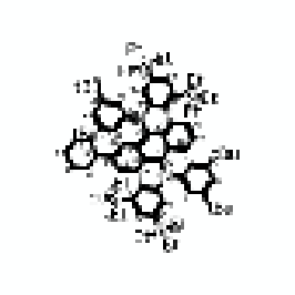 CC[Si](CC)(CC)c1cc(N(c2cc(C(C)(C)C)cc(C(C)(C)C)c2)c2c3ccccc3c(N(c3cc(C(C)(C)C)cc(C(C)(C)C)c3)c3cc([Si](CC)(CC)CC)cc([Si](CC)(CC)CC)c3)c3cc(C4CCCCC4)ccc23)cc([Si](CC)(CC)CC)c1